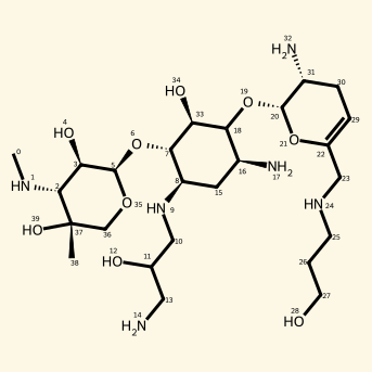 CN[C@@H]1[C@@H](O)[C@@H](O[C@H]2[C@H](NCC(O)CN)C[C@H](N)C(O[C@H]3OC(CNCCCO)=CC[C@H]3N)[C@@H]2O)OC[C@]1(C)O